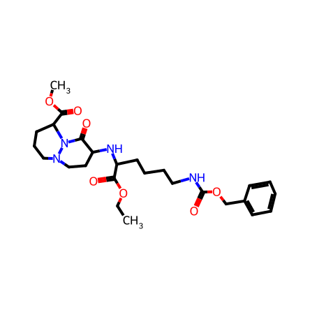 CCOC(=O)C(CCCCNC(=O)OCc1ccccc1)NC1CCN2CCCC(C(=O)OC)N2C1=O